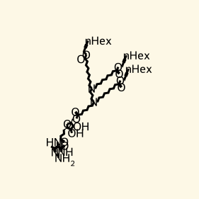 CCCCCCC#CCOC(=O)CCCCCCCCN(CCCCCCCCC(=O)OCC#CCCCCCC)CCCN(CCCCCCCCC(=O)OCC#CCCCCCC)CCCCCC(=O)OC[C@@H]1O[C@H](CCCC(=O)Nc2c(C)nc(N)[nH]c2=O)C(O)C1O